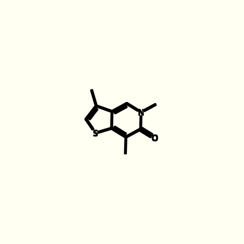 Cc1csc2c(C)c(=O)n(C)cc12